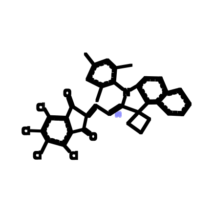 Cc1cc(C)c(N2/C(=C\C=C3C(=O)c4c(Cl)c(Cl)c(Cl)c(Cl)c4C3=O)C3(CCC3)c3c2ccc2ccccc32)c(C)c1